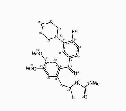 CNC(=O)N1N=C(c2ccc(F)c(N3CCOCC3)c2)c2cc(OC)c(OC)cc2CC1C